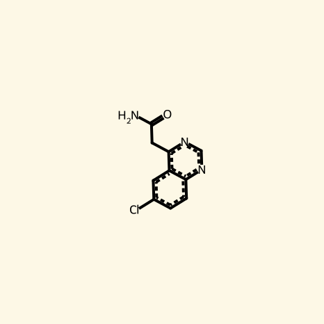 NC(=O)Cc1ncnc2ccc(Cl)cc12